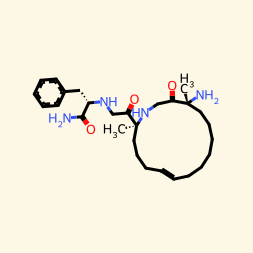 C[C@@]1(N)CCCCCC/C=C/CCC[C@@](C)(C(=O)CN[C@@H](Cc2ccccc2)C(N)=O)NCC1=O